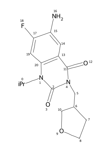 CC(C)n1c(=O)n(CC2CCOC2)c(=O)c2cc(N)c(F)cc21